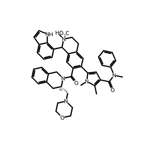 Cc1c(C(=O)N(C)c2ccccc2)cc(-c2cc3c(cc2C(=O)N2Cc4ccccc4C[C@H]2CN2CCOCC2)C(c2cccc4cc[nH]c24)N(C(=O)O)CC3)n1C